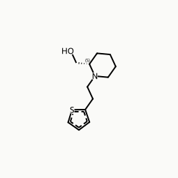 OC[C@@H]1CCCCN1CCc1cccs1